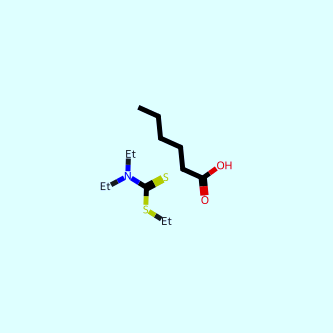 CCCCCC(=O)O.CCSC(=S)N(CC)CC